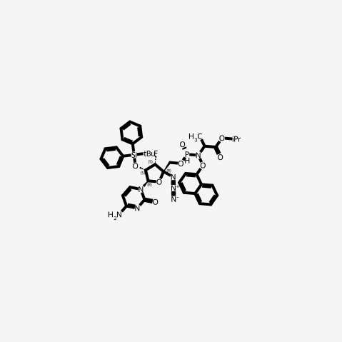 CC(C)OC(=O)C(C)N(Oc1cccc2ccccc12)[PH](=O)OC[C@@]1(N=[N+]=[N-])O[C@@H](n2ccc(N)nc2=O)[C@H](O[Si](c2ccccc2)(c2ccccc2)C(C)(C)C)[C@@H]1F